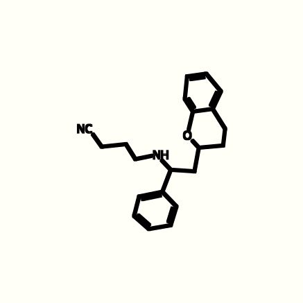 N#CCCCNC(CC1CCc2ccccc2O1)c1ccccc1